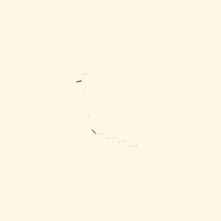 CCCCCCCC/C=C\CCCCCCCC(=O)C(C)C